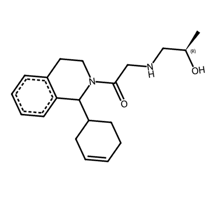 C[C@@H](O)CNCC(=O)N1CCc2ccccc2C1C1CC=CCC1